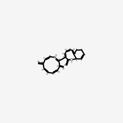 C=C1OC2C=CCC\C2=C/C=C\C=C/1c1nccc(=C)ccccc1=C